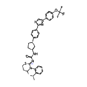 CC(C)c1ccccc1N1/C(=N/C(=O)NC2CCC(c3ccc(-c4ncn(-c5ccc(OC(F)(F)F)cc5)n4)cc3)C2)SCCC1C